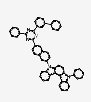 c1ccc(-c2cccc(-c3nc(-c4ccccc4)nc(-c4ccc5cc(-n6c7ccccc7c7c8c9ccccc9n(-c9ccccc9)c8ccc76)ccc5c4)n3)c2)cc1